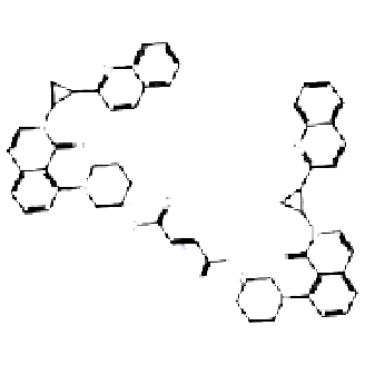 O=C(/C=C/C(=O)O[C@H]1CCCN(c2cccc3ccn(C4CC4c4ccc5ccccc5n4)c(=O)c23)C1)O[C@H]1CCCN(c2cccc3ccn(C4CC4c4ccc5ccccc5n4)c(=O)c23)C1